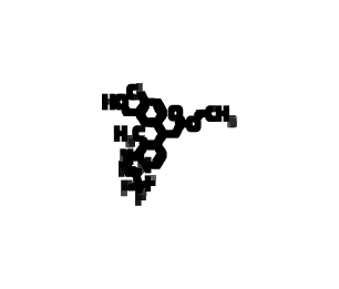 CCOC(=O)CC(c1ccc(Cl)c(CO)c1)c1ccn2c(C(F)(F)F)nnc2c1C